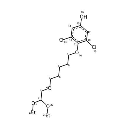 CCOC(COCCCCCOc1c(Cl)cc(O)cc1Cl)OCC